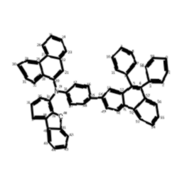 c1ccc(-c2c(-c3ccccc3)c3cc(-c4ccc(N(c5cc6ccccc6c6ccccc56)c5cccc6c5oc5ccccc56)cc4)ccc3c3ccccc23)cc1